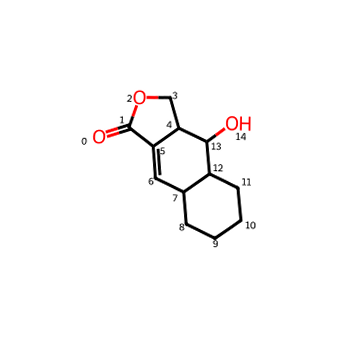 O=C1OCC2C1=CC1CCCCC1C2O